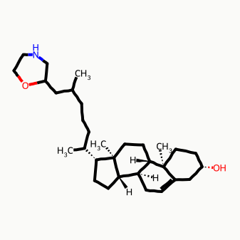 CC(CCCC(C)[C@H]1CC[C@H]2[C@@H]3CC=C4C[C@@H](O)CC[C@]4(C)[C@H]3CC[C@]12C)CC1CNCCO1